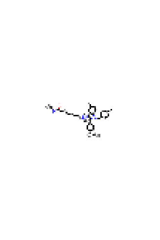 CCCCN(C)C(=O)CCCCCCC[N+](C)(C(C)=O)c1c(-c2ccc(OC)cc2)n(Cc2ccc(C)cc2)c2ccc(C)cc12